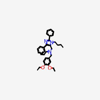 CCCCn1c(-c2ccccc2)nc(-c2ccccc2)c1CN(CCC)Cc1ccc(OCC)c(OCC)c1